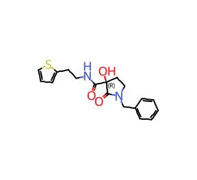 O=C(NCCc1cccs1)[C@]1(O)CCN(Cc2ccccc2)C1=O